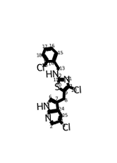 Clc1cnc2[nH]cc(Cc3sc(NCc4ccccc4Cl)nc3Cl)c2c1